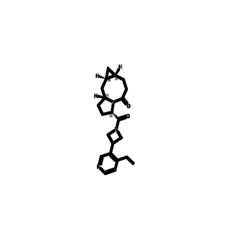 CCc1ccncc1C1CN(C(=O)[C@@H]2CC[C@@H]3C[C@H]4C[C@@H]4CCC(=O)N32)C1